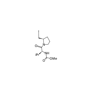 COC(=O)N[C@H](C(=O)N1CCC[C@@H]1CI)C(C)C